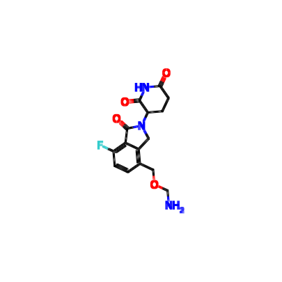 NCOCc1ccc(F)c2c1CN(C1CCC(=O)NC1=O)C2=O